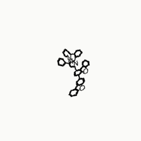 c1ccc(-c2cc(-c3ccc(-c4ccc5oc6ccccc6c5c4)c4oc5ccccc5c34)nc(-c3ccccc3-c3ccccn3)n2)cc1